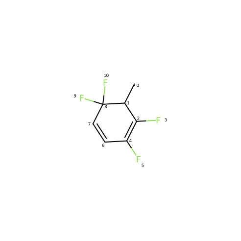 [CH2]C1C(F)=C(F)C=CC1(F)F